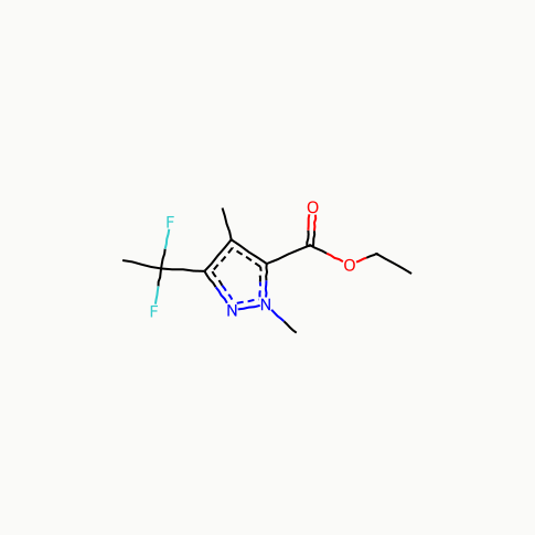 CCOC(=O)c1c(C)c(C(C)(F)F)nn1C